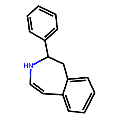 C1=Cc2ccccc2CC(c2ccccc2)N1